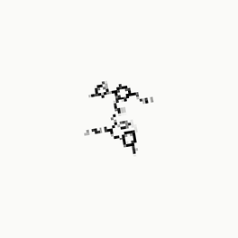 CC(=O)NC(Cc1cc(F)cc(F)c1)C(O)CNCc1cc(CC(C)(C)C)ccc1-c1cc(C)cs1